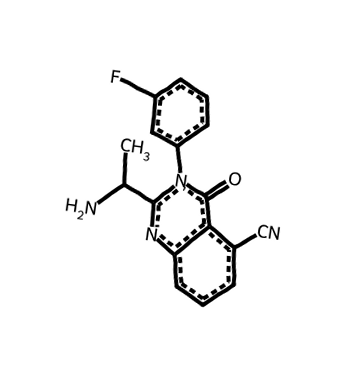 CC(N)c1nc2cccc(C#N)c2c(=O)n1-c1cccc(F)c1